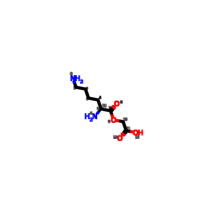 NCCCC[C@H](N)C(=O)OCC(=O)O